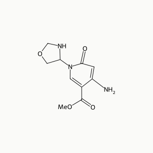 COC(=O)c1cn(C2COCN2)c(=O)cc1N